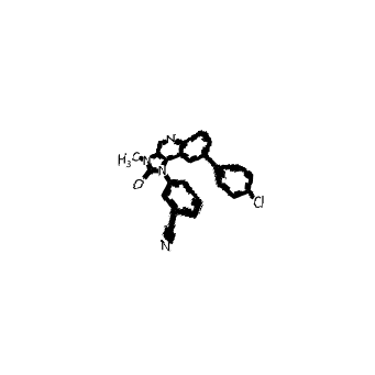 Cn1c(=O)n(-c2cccc(C#N)c2)c2c3cc(-c4ccc(Cl)cc4)ccc3ncc21